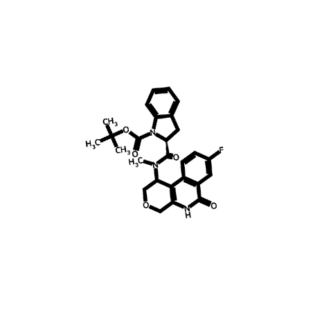 CN(C(=O)[C@@H]1Cc2ccccc2N1C(=O)OC(C)(C)C)C1COCc2[nH]c(=O)c3cc(F)ccc3c21